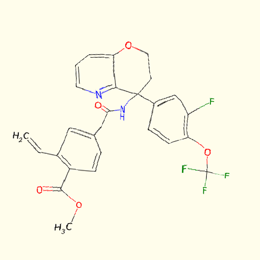 C=Cc1cc(C(=O)NC2(c3ccc(OC(F)(F)F)c(F)c3)CCOc3cccnc32)ccc1C(=O)OC